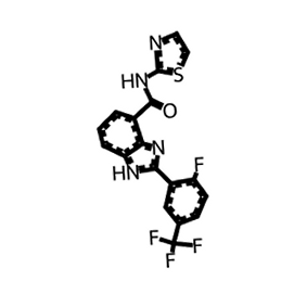 O=C(Nc1nccs1)c1cccc2[nH]c(-c3cc(C(F)(F)F)ccc3F)nc12